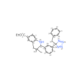 CCOC(=O)c1ccc2c(c1)CC(C)(C)C(c1cccc(C3(Cc4ccccc4)N=NN=N3)c1)N2